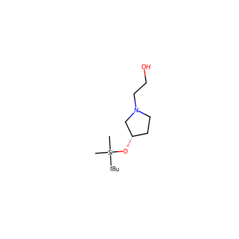 CC(C)(C)[Si](C)(C)O[C@H]1CCN(CCO)C1